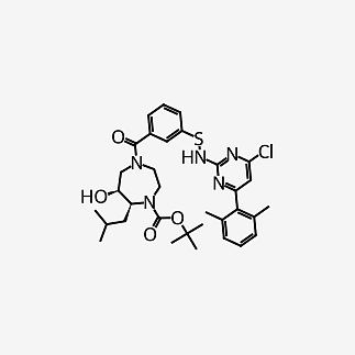 Cc1cccc(C)c1-c1cc(Cl)nc(NSc2cccc(C(=O)N3CCN(C(=O)OC(C)(C)C)[C@@H](CC(C)C)[C@@H](O)C3)c2)n1